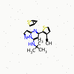 C#Cc1ccsc1-c1cc(NC(C)(C)C)n2nccc2n1.c1sc2cc1-2